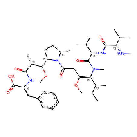 CC[C@H](C)[C@@H](C(CC(=O)N1[C@@H](C)CC[C@H]1C(OC)[C@@H](C)C(=O)N[C@@H](Cc1ccccc1)C(=O)O)OC)N(C)C(=O)[C@@H](NC(=O)[C@@H](NC)C(C)C)C(C)C